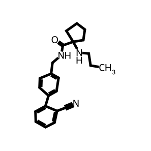 CCCNC1(C(=O)NCc2ccc(-c3ccccc3C#N)cc2)CCCC1